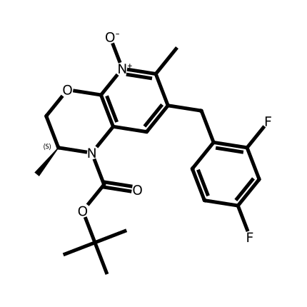 Cc1c(Cc2ccc(F)cc2F)cc2c([n+]1[O-])OC[C@H](C)N2C(=O)OC(C)(C)C